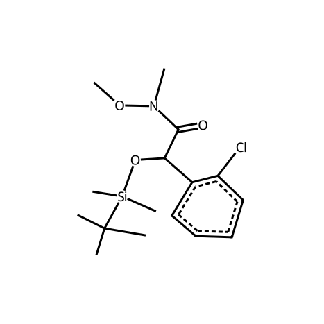 CON(C)C(=O)C(O[Si](C)(C)C(C)(C)C)c1ccccc1Cl